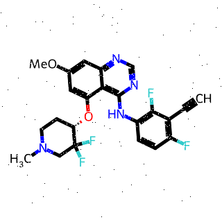 C#Cc1c(F)ccc(Nc2ncnc3cc(OC)cc(O[C@H]4CCN(C)CC4(F)F)c23)c1F